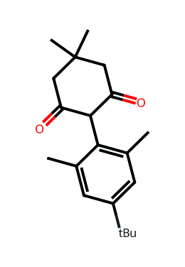 Cc1cc(C(C)(C)C)cc(C)c1C1C(=O)CC(C)(C)CC1=O